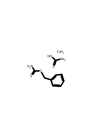 NC(=S)OCc1ccccc1.NC(O)=S.[CaH2]